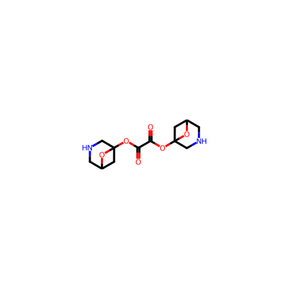 O=C(OC12CNCC(C1)O2)C(=O)OC12CNCC(C1)O2